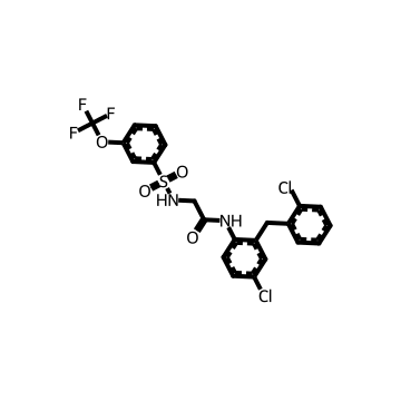 O=C(CNS(=O)(=O)c1cccc(OC(F)(F)F)c1)Nc1ccc(Cl)cc1Cc1ccccc1Cl